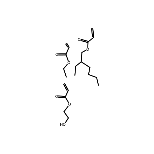 C=CC(=O)OCC.C=CC(=O)OCC(CC)CCCC.C=CC(=O)OCCO